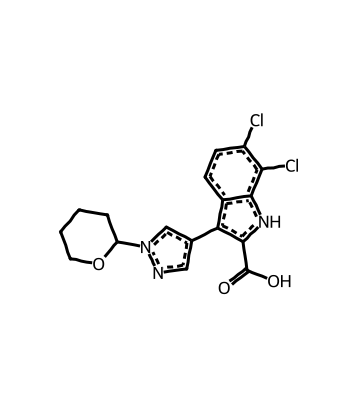 O=C(O)c1[nH]c2c(Cl)c(Cl)ccc2c1-c1cnn(C2CCCCO2)c1